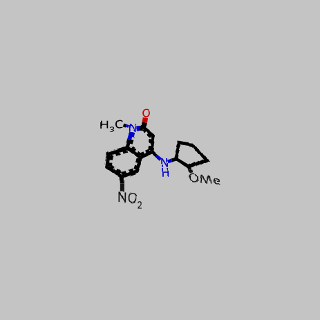 COC1CCCC1Nc1cc(=O)n(C)c2ccc([N+](=O)[O-])cc12